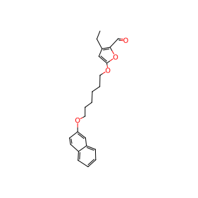 CCc1cc(OCCCCCCOc2ccc3ccccc3c2)oc1C=O